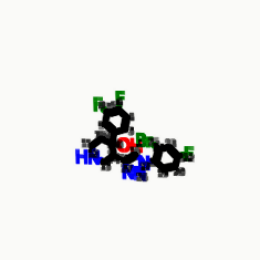 O[C@]1(c2ccc(F)c(F)c2)CCNC[C@@H]1c1cn(-c2ccc(F)cc2Br)nn1